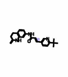 C=C1CCc2ccc(NC(=O)/C=C/c3ccc(C(C)(C)C)nc3)cc2N1